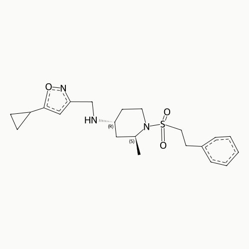 C[C@H]1C[C@H](NCc2cc(C3CC3)on2)CCN1S(=O)(=O)CCc1ccccc1